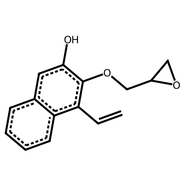 C=Cc1c(OCC2CO2)c(O)cc2ccccc12